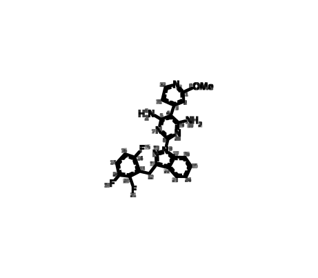 COc1cc(-c2c(N)nc(-n3nc(Cc4c(F)ccc(F)c4F)c4ccccc43)nc2N)ccn1